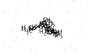 C=C(C)[C@@H]1CC[C@]2(CC(=O)NCc3ccc(N(C)C)cc3)CC[C@]3(C)[C@H](CC[C@@H]4[C@@]5(C)CC[C@H](OC(=O)CC(C)(C)C(=O)O)C(C)(C)[C@@H]5CC[C@]43C)[C@@H]12